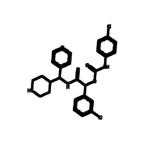 O=C(Nc1ccc(Cl)cc1)OC(C(=O)NC(c1ccncc1)C1CCNCC1)c1cccc(Cl)c1